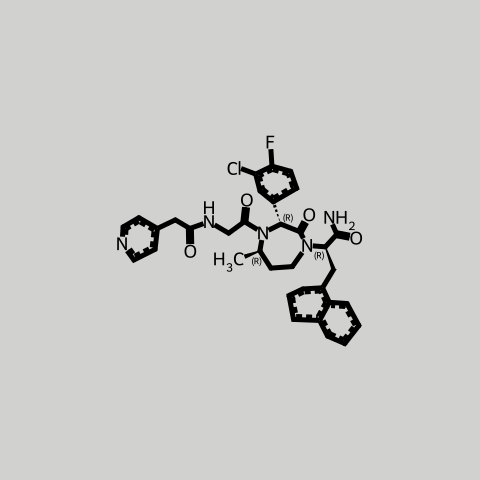 C[C@@H]1CCN([C@H](Cc2cccc3ccccc23)C(N)=O)C(=O)[C@@H](c2ccc(F)c(Cl)c2)N1C(=O)CNC(=O)Cc1ccncc1